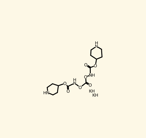 O=C(NOC(=O)ONC(=O)OC1CCNCC1)OC1CCNCC1.[KH].[KH]